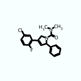 CN(C)C(=O)N1CC(c2cc(Cl)ccc2F)=CC1c1ccccc1